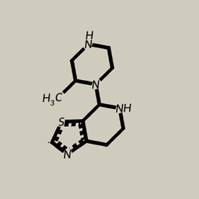 CC1CNCCN1C1NCCc2n[c]sc21